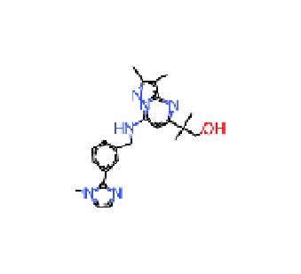 Cc1nn2c(NCc3cccc(-c4nccn4C)c3)cc(C(C)(C)CO)nc2c1C